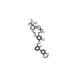 COC(=O)C1(O)CCN(CCOc2cc(OCc3cccc(-c4ccc5c(c4)OCCO5)c3C)c(Cl)cc2CNC(C)(CO)CO)CC1